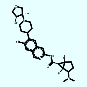 CN(C)C1CC[C@H]2[C@H](C(=O)Nc3cc4cc(C5CCN([C@]6(C)COC[C@@H]6O)CC5)c(Cl)cc4cn3)[C@@H]12